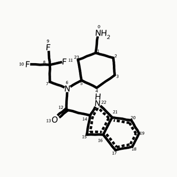 NC1CCCC(N(CC(F)(F)F)C(=O)c2cc3ccccc3[nH]2)C1